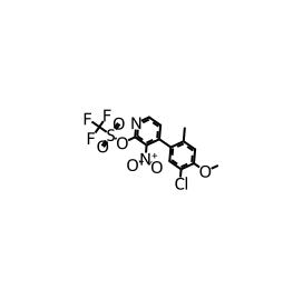 COc1cc(C)c(-c2ccnc(OS(=O)(=O)C(F)(F)F)c2[N+](=O)[O-])cc1Cl